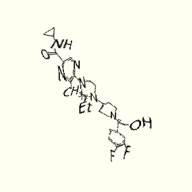 CC[C@H]1CN(c2ncc(C(=O)NC3CC3)nc2C)CCN1C1CCN([C@@H](CO)c2ccc(F)c(F)c2)CC1